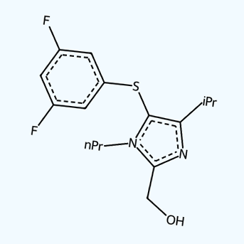 CCCn1c(CO)nc(C(C)C)c1Sc1cc(F)cc(F)c1